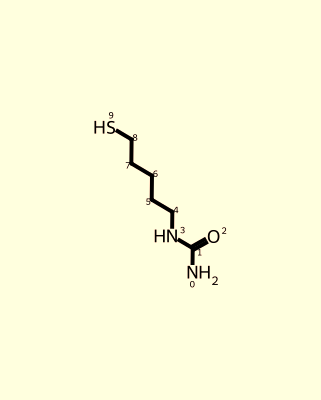 NC(=O)NCCCCCS